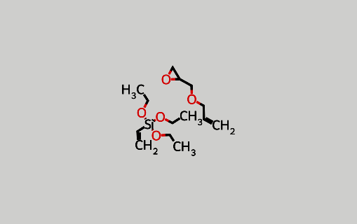 C=CCOCC1CO1.C=C[Si](OCC)(OCC)OCC